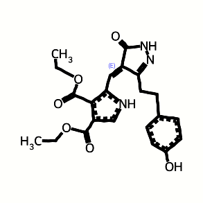 CCOC(=O)c1c[nH]c(/C=C2/C(=O)NN=C2CCc2ccc(O)cc2)c1C(=O)OCC